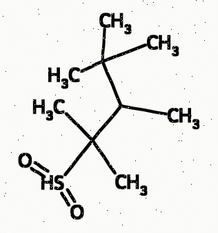 CC(C(C)(C)C)C(C)(C)[SH](=O)=O